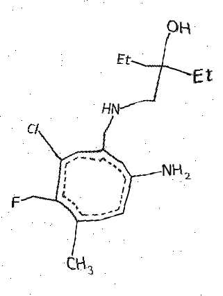 CCC(O)(CC)CNc1c(N)cc(C)c(F)c1Cl